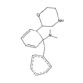 CN(C)C1(Cc2ccccc2)C=CC=CC1C1CNCCO1